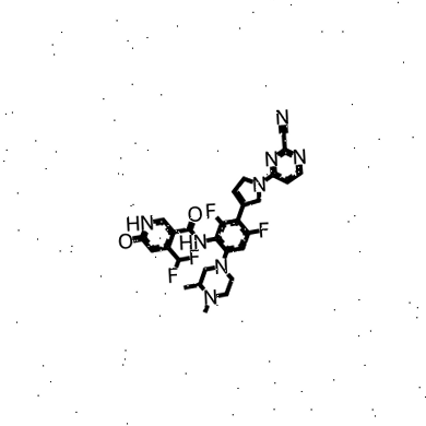 CC1CN(c2cc(F)c(C3=CCN(c4ccnc(C#N)n4)C3)c(F)c2NC(=O)c2c[nH]c(=O)cc2C(F)F)CCN1C